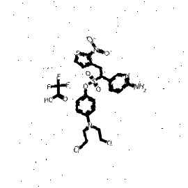 Nc1ccc(C(Cc2ccsc2[N+](=O)[O-])S(=O)(=O)Oc2ccc(N(CCCl)CCCl)cc2)cn1.O=C(O)C(F)(F)F